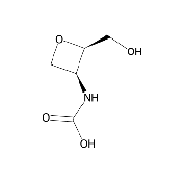 O=C(O)N[C@H]1CO[C@H]1CO